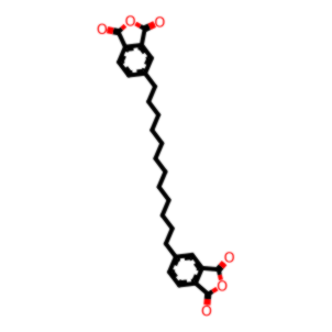 O=C1OC(=O)c2cc(CCCCCCCCCCCCc3ccc4c(c3)C(=O)OC4=O)ccc21